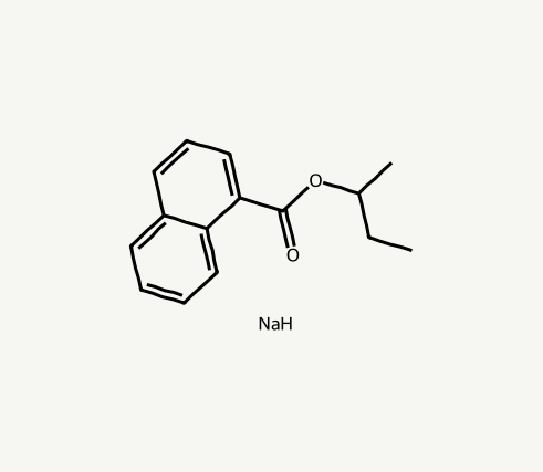 CCC(C)OC(=O)c1cccc2ccccc12.[NaH]